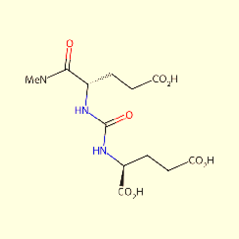 CNC(=O)[C@H](CCC(=O)O)NC(=O)N[C@@H](CCC(=O)O)C(=O)O